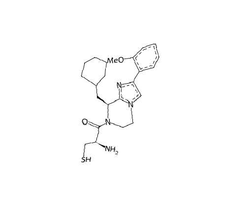 COc1ccccc1-c1cn2c(n1)[C@H](CC1CCCCC1)N(C(=O)[C@@H](N)CS)CC2